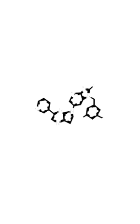 Cc1nc2ncc(-n3ccc4ncc(-c5cccnc5)nc43)cc2n1Cc1cc(F)cc(F)c1